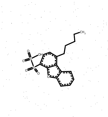 CCCCCc1ccc(S(=O)(=O)S(=O)(=O)O)c2oc3ccccc3c12